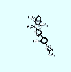 Cc1nnn(-c2ccc(-c3cnc(N(C)[C@@H]4C[C@@]5(C)CC[C@](C)(N5)[C@H]4F)nn3)c(O)c2)n1